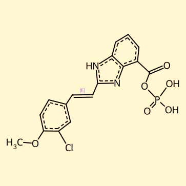 COc1ccc(/C=C/c2nc3c(C(=O)OP(=O)(O)O)cccc3[nH]2)cc1Cl